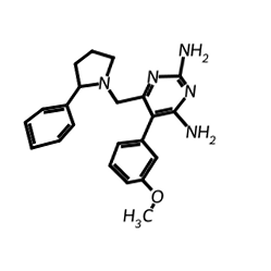 COc1cccc(-c2c(N)nc(N)nc2CN2CCCC2c2ccccc2)c1